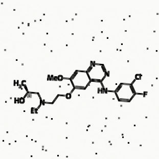 CCN(CCOc1cc2c(Nc3ccc(F)c(Cl)c3)ncnc2cc1OC)C[C@H](C)O